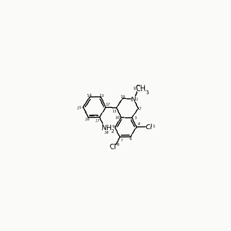 CN1Cc2c(Cl)cc(Cl)cc2C(c2ccccc2N)C1